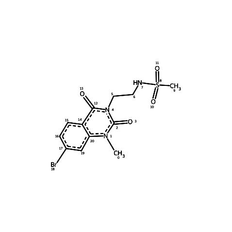 Cn1c(=O)n(CCNS(C)(=O)=O)c(=O)c2ccc(Br)cc21